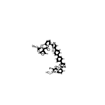 COC(=O)N[C@H](C(=O)N1CCC[C@H]1c1ncc(-c2ccc(-c3ccc(-c4cnc([C@@H]5CCCN5C(=O)[C@@H](NC(=O)O)C(C)C)[nH]4)cc3)cc2)[nH]1)C1COC1